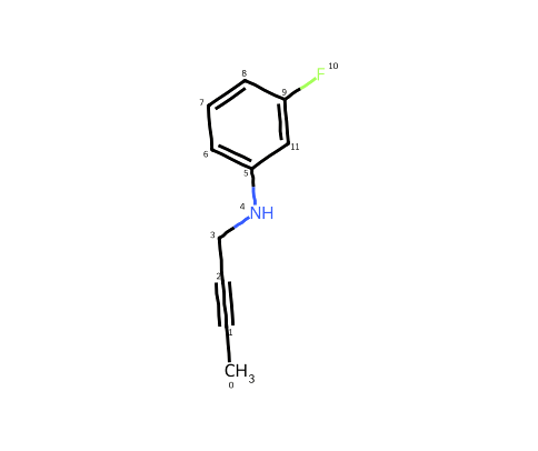 CC#CCNc1cccc(F)c1